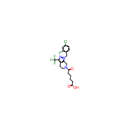 O=C(O)CCCCC(=O)N1CCc2c(C(F)(F)F)nn(Cc3ccc(Cl)cc3F)c2C1